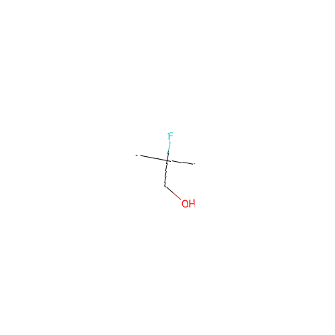 [CH2]C(C)(F)CO